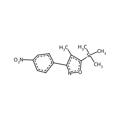 Cc1c(-c2ccc([N+](=O)[O-])cc2)noc1[Si](C)(C)C